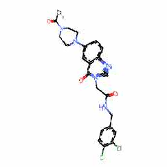 O=C(Cn1cnc2ccc(N3CCN(C(=O)C(F)(F)F)CC3)cc2c1=O)NCc1ccc(Cl)c(Cl)c1